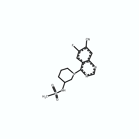 CS(=O)(=O)NC1CCCN(c2ncnc3cc(C#N)c(F)cc23)C1